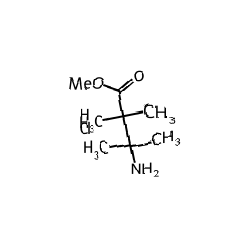 COC(=O)C(C)(C)C(C)(C)N.Cl